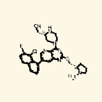 CN1CCC[C@H]1COc1nc(N2CCN[C@@H](CC#N)C2)c2ncc(-c3cccc4ccc(F)c(Cl)c34)cc2n1